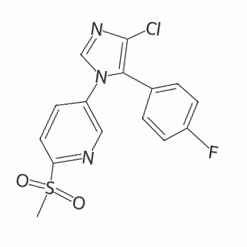 CS(=O)(=O)c1ccc(-n2cnc(Cl)c2-c2ccc(F)cc2)cn1